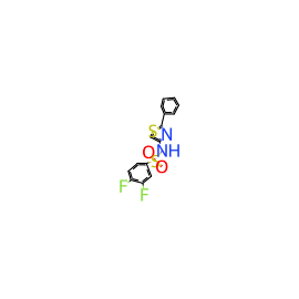 O=S(=O)(Nc1csc(-c2ccccc2)n1)c1ccc(F)c(F)c1